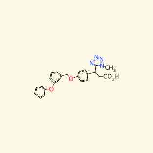 Cn1nnnc1C(CC(=O)O)c1ccc(OCc2cccc(Oc3ccccc3)c2)cc1